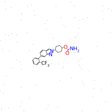 NC(=O)OC1CCC(n2cc3ccc(-c4ccccc4C(F)(F)F)cc3n2)CC1